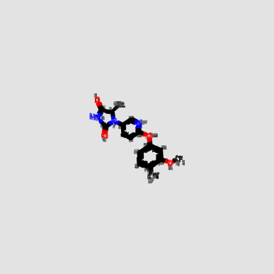 CC[C@@H]1C(=O)NC(=O)N1c1ccc(Oc2ccc(C#N)c(OC(F)(F)F)c2)nc1